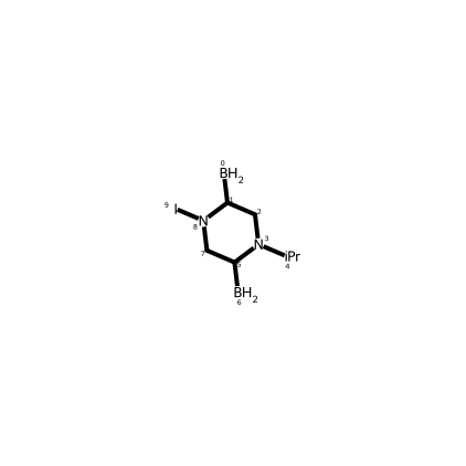 BC1CN(C(C)C)C(B)CN1I